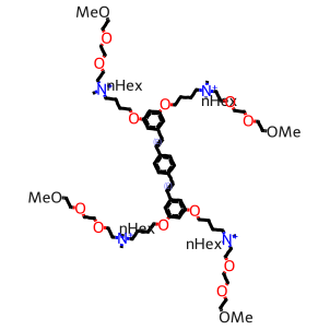 CCCCCC[N+](C)(CCCCOc1cc(/C=C/c2ccc(/C=C/c3cc(OCCCC[N+](C)(CCCCCC)CCOCCOCCOC)cc(OCCCC[N+](C)(CCCCCC)CCOCCOCCOC)c3)cc2)cc(OCCCC[N+](C)(CCCCCC)CCOCCOCCOC)c1)CCOCCOCCOC